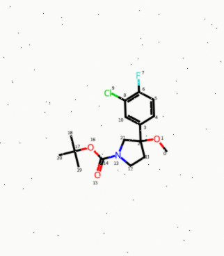 COC1(c2ccc(F)c(Cl)c2)CCN(C(=O)OC(C)(C)C)C1